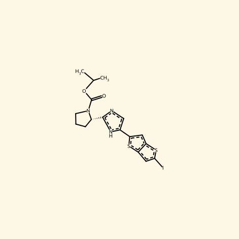 CC(C)OC(=O)N1CCC[C@H]1c1ncc(-c2cc3sc(I)cc3s2)[nH]1